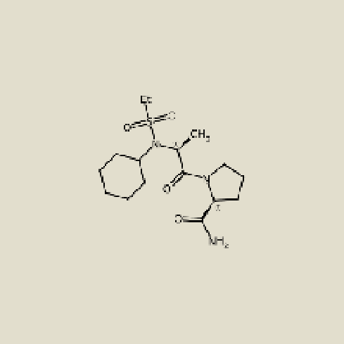 CCS(=O)(=O)N(C1CCCCC1)[C@@H](C)C(=O)N1CCC[C@H]1C(N)=O